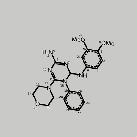 COc1ccc(NC2N=C(N)N=C(N3CCOCC3)N2c2ccccc2)cc1OC